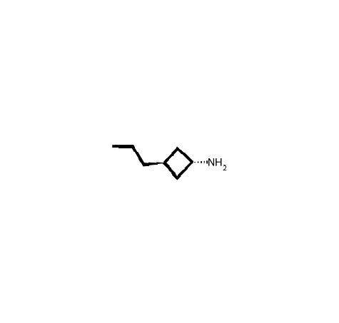 CCC[C@H]1C[C@H](N)C1